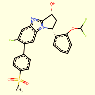 CS(=O)(=O)c1ccc(-c2cc3c(cc2F)nc2n3[C@@H](c3ccccc3OC(F)F)C[C@H]2O)cc1